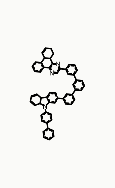 C1=CC2c3ccc(-c4cccc(-c5cccc(-c6cccc(-c7cnc8c(n7)C7CCC=CC7c7ccccc7-8)c6)c5)c4)cc3N(c3ccc(-c4ccccc4)cc3)C2C=C1